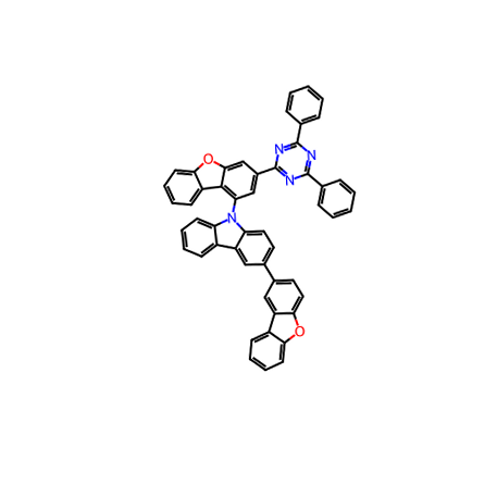 c1ccc(-c2nc(-c3ccccc3)nc(-c3cc(-n4c5ccccc5c5cc(-c6ccc7oc8ccccc8c7c6)ccc54)c4c(c3)oc3ccccc34)n2)cc1